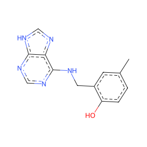 Cc1ccc(O)c(CNc2ncnc3[nH]cnc23)c1